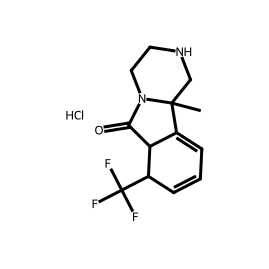 CC12CNCCN1C(=O)C1C2=CC=CC1C(F)(F)F.Cl